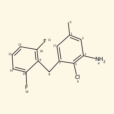 Cc1cc(N)c(Cl)c(Cc2c(F)cccc2F)c1